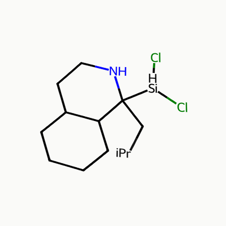 CC(C)CC1([SiH](Cl)Cl)NCCC2CCCCC21